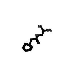 CC(O)CNC(=O)Oc1ccccc1